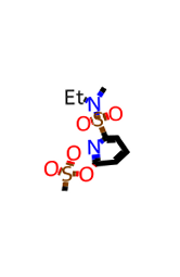 CCN(C)S(=O)(=O)c1cccc(OS(C)(=O)=O)n1